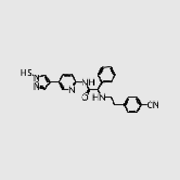 N#Cc1ccc(CCNC(C(=O)Nc2ccc(-c3cnn(S)c3)cn2)c2ccccc2)cc1